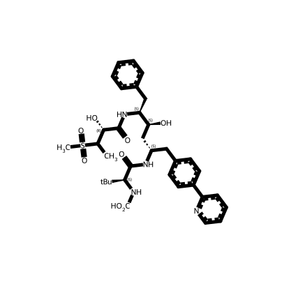 CC([C@H](O)C(=O)N[C@@H](Cc1ccccc1)[C@@H](O)C[C@H](Cc1ccc(-c2ccccn2)cc1)NC(=O)[C@@H](NC(=O)O)C(C)(C)C)S(C)(=O)=O